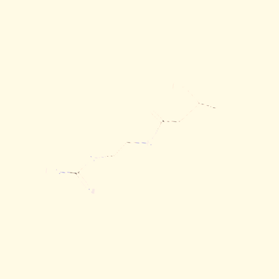 CC(C)CC(=O)NCCNC(=N)N